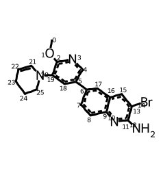 COc1ncc(-c2ccc3nc(N)c(Br)cc3c2)cc1N1C=CCCC1